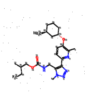 Cc1nc(-c2nnn(C)c2CNC(=O)OCC(C)CC(F)(F)F)ccc1O[C@H]1CCC[C@H](C(=O)O)C1